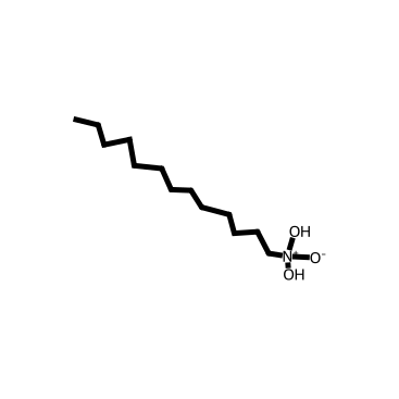 CCCCCCCCCCCCC[N+]([O-])(O)O